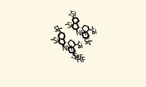 C[Si](C)(C)C1=CC[C@@H](c2c(N)cc([Si](C)(C)C)c3cc([Si](C)(C)C)ccc23)c2ccc([Si](C)(C)C)cc21.C[Si](C)(C)C1=CC[C@@H](c2c(N)cc([Si](C)(C)C)c3cc([Si](C)(C)C)ccc23)c2ccc([Si](C)(C)C)cc21.F.F